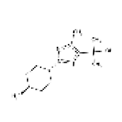 Cc1nn([C@H]2CC[C@H](C)CC2)nc1C(C)(C)O